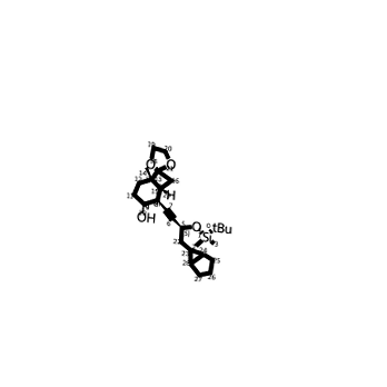 CC(C)(C)[Si](C)(C)O[C@H](C#C[C@H]1[C@H](O)CC[C@@]2(C)[C@@H]1CC21OCCO1)CC1C2CCCC21